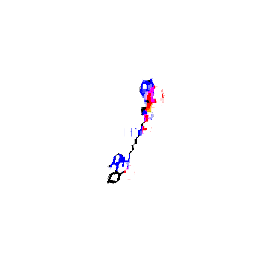 Cc1cccnc1-c1ccccc1C(=O)NCCCCCCCNC(=O)CCc1ccc(C(=O)N2CC3CC(C2)N3C(=O)C=CCN(C)C)s1